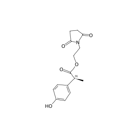 C[C@H](C(=O)OCCN1C(=O)CCC1=O)c1ccc(O)cc1